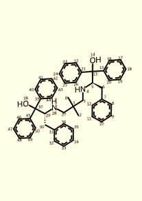 CC(C)(CN[C@H](Cc1ccccc1)C(O)(c1ccccc1)c1ccccc1)CN[C@H](Cc1ccccc1)C(O)(c1ccccc1)c1ccccc1